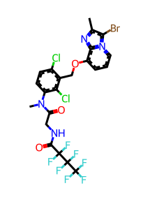 Cc1nc2c(OCc3c(Cl)ccc(N(C)C(=O)CNC(=O)C(F)(F)C(F)(F)C(F)(F)F)c3Cl)cccn2c1Br